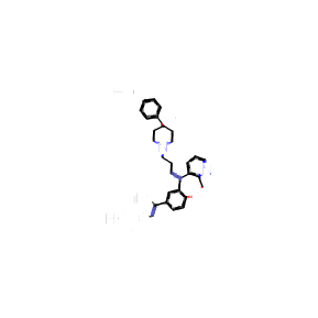 Cc1ccc(C2(O)CCN(CC/C=C3/c4cc(/C(=C/C(=O)O)C(C)C)ccc4OCc4ncccc43)CC2)cc1